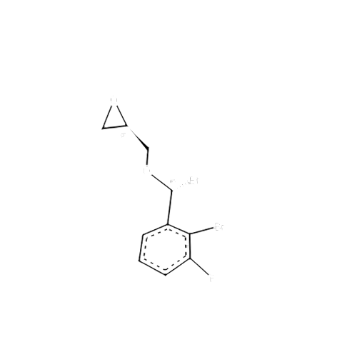 CC[C@@H](OC[C@H]1CO1)c1cccc(F)c1Br